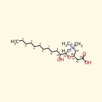 CCCCCCCCCCC(O)CO[C@H](CC(=O)O)C[N+](C)(C)C